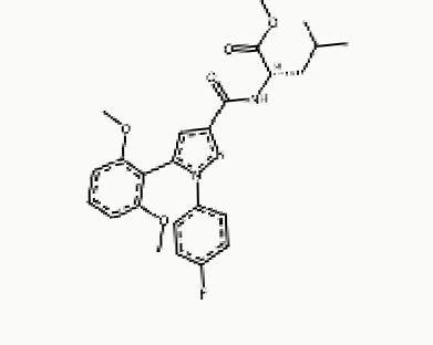 COC(=O)[C@H](CC(C)C)NC(=O)c1cc(-c2c(OC)cccc2OC)n(-c2ccc(F)cc2)n1